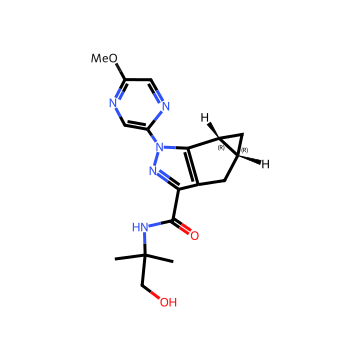 COc1cnc(-n2nc(C(=O)NC(C)(C)CO)c3c2[C@@H]2C[C@@H]2C3)cn1